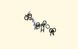 CC[C@H](OC)C(C)OC(C)(C)C[C@H](C)/C=C/C=C(\C)[C@H]1O[C@@H](CNC(=O)[C@H]2CC[C@@H](COC(=O)N(CC)CC)CC2)CC[C@@H]1C